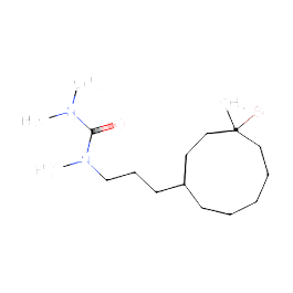 CN(C)C(=O)N(C)CCCC1CCCCCC(C)(Br)CC1